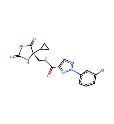 O=C1NC(=O)[C@](CNC(=O)c2cnn(-c3cccc(Cl)c3)n2)(C2CC2)N1